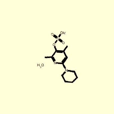 Cc1cc(N2CCCCC2)nc(C)c1OS(=O)(=O)O.O